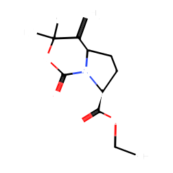 C=C1C2CC[C@@H](C(=O)OCC)N2C(=O)OC1(C)C